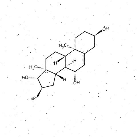 CCC[C@@H]1C[C@H]2[C@@H]3[C@@H](O)C=C4C[C@H](O)CC[C@]4(C)[C@H]3CC[C@]2(C)[C@H]1O